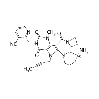 CC#CCn1c(N2CCC[C@@H](N)C2)c(C(=O)N2CCC2)c2c1c(=O)n(Cc1ncccc1C#N)c(=O)n2C